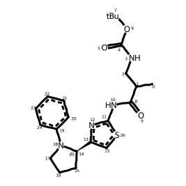 CC(CNC(=O)OC(C)(C)C)C(=O)Nc1nc([C@H]2CCCN2c2ccccc2)cs1